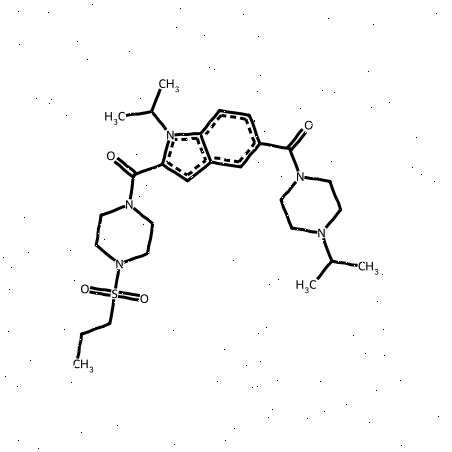 CCCS(=O)(=O)N1CCN(C(=O)c2cc3cc(C(=O)N4CCN(C(C)C)CC4)ccc3n2C(C)C)CC1